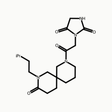 CC(C)CCN1CC2(CCCN(C(=O)CN3C(=O)CNC3=O)C2)CCC1=O